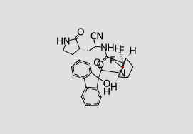 N#C[C@H](C[C@@H]1CCNC1=O)NC(=O)[C@H]1[C@H]2CC[C@H](CC2(F)F)N1C(=O)C1(O)c2ccccc2-c2ccccc21